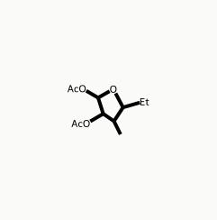 CCC1OC(OC(C)=O)C(OC(C)=O)C1C